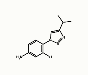 CC(C)c1cn(-c2ccc(N)cc2Cl)nn1